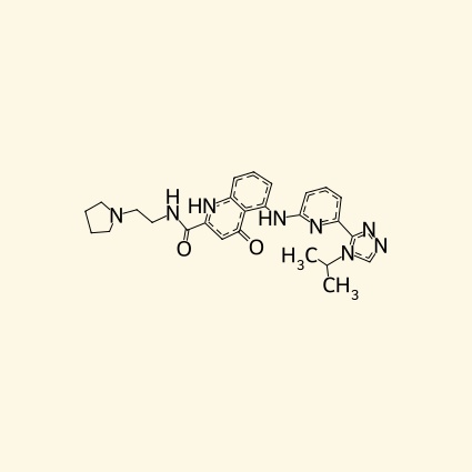 CC(C)n1cnnc1-c1cccc(Nc2cccc3[nH]c(C(=O)NCCN4CCCC4)cc(=O)c23)n1